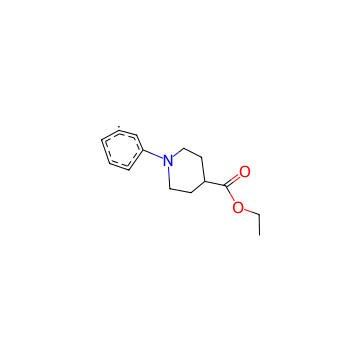 CCOC(=O)C1CCN(c2c[c]ccc2)CC1